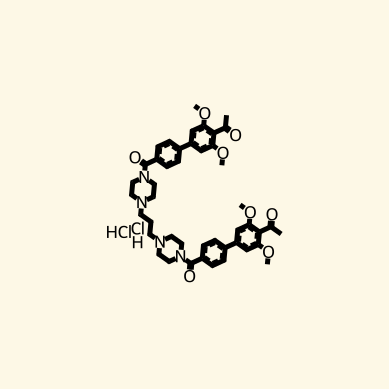 COc1cc(-c2ccc(C(=O)N3CCN(CCCN4CCN(C(=O)c5ccc(-c6cc(OC)c(C(C)=O)c(OC)c6)cc5)CC4)CC3)cc2)cc(OC)c1C(C)=O.Cl.Cl